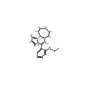 CCOc1ccccc1C(=NN1CCCCCC1)n1ccnc1